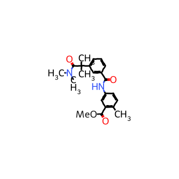 COC(=O)c1cc(NC(=O)c2cccc(C(C)(C)C(=O)N(C)C)c2)ccc1C